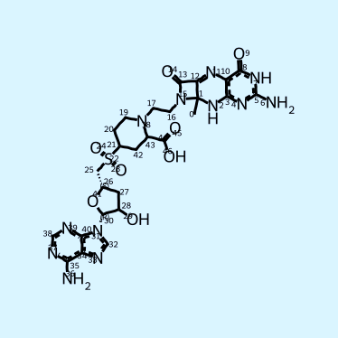 CC12Nc3nc(N)[nH]c(=O)c3N=C1C(=O)N2CCN1CCC(S(=O)(=O)C[C@@H]2CC(O)[C@H](n3cnc4c(N)ncnc43)O2)CC1C(=O)O